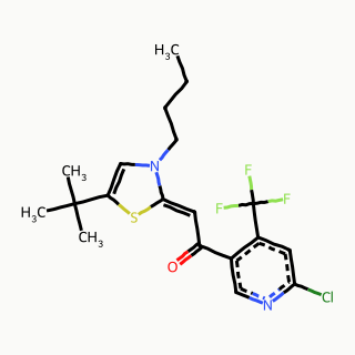 CCCCN1C=C(C(C)(C)C)S/C1=C\C(=O)c1cnc(Cl)cc1C(F)(F)F